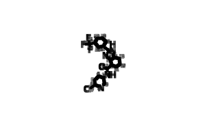 O=C(Nc1ccc(Cl)nc1)c1cccc2[nH]c(-c3cccc(C(F)(F)F)c3)nc12